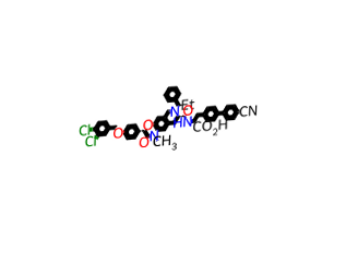 CC[C@@H](c1ccccc1)N1Cc2cc3c(cc2C[C@H]1C(=O)N[C@@H](Cc1ccc(-c2ccc(C#N)cc2)cc1)C(=O)O)N(C)C(=O)[C@H](c1ccc(OCc2ccc(Cl)c(Cl)c2)cc1)O3